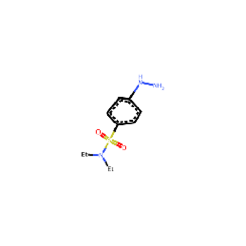 CCN(CC)S(=O)(=O)c1ccc(NN)cc1